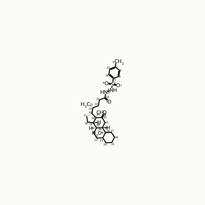 Cc1ccc(S(=O)(=O)NNC(=O)CC[C@@H](C)[C@H]2CC[C@H]3[C@@H]4CCC5CCCC[C@]5(C)[C@H]4CC(=O)[C@]23C)cc1